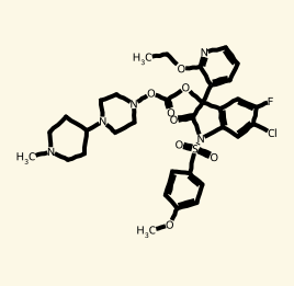 CCOc1ncccc1C1(OC(=O)ON2CCN(C3CCN(C)CC3)CC2)C(=O)N(S(=O)(=O)c2ccc(OC)cc2)c2cc(Cl)c(F)cc21